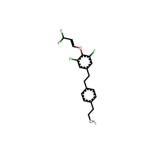 CCCc1ccc(CCc2cc(F)c(O/C=C/C(F)F)c(F)c2)cc1